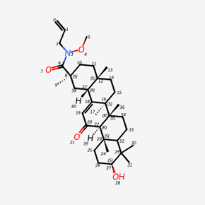 C=CCN(OC)C(=O)[C@@]1(C)CC[C@]2(C)CC[C@]3(C)C(=CC(=O)[C@@H]4[C@@]5(C)CC[C@H](O)C(C)(C)C5CC[C@]43C)[C@@H]2C1